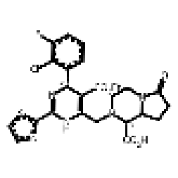 CCOC(=O)C1=C(CN2CCN3C(=O)CCC3[C@H]2C(=O)O)NC(c2nccs2)=N[C@H]1c1cccc(F)c1Cl